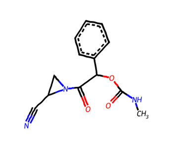 CNC(=O)OC(C(=O)N1CC1C#N)c1ccccc1